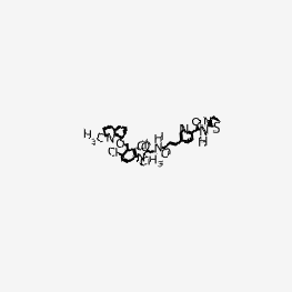 Cc1ccc2cccc(OCc3c(Cl)ccc(N(C)C(=O)CNC(=O)/C=C/c4ccc(C(=O)Nc5nccs5)nc4)c3Cl)c2n1